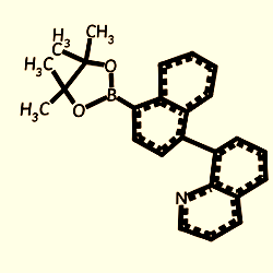 CC1(C)OB(c2ccc(-c3cccc4cccnc34)c3ccccc23)OC1(C)C